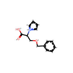 O=C(O)C(COCc1ccccc1)n1cccc1